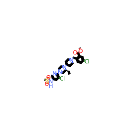 CC[C@H]1CN(c2ncc(NS(C)(=O)=O)cc2Cl)CCN1C1CCN(Cc2ccc(Cl)cc2C(=O)OC)CC1